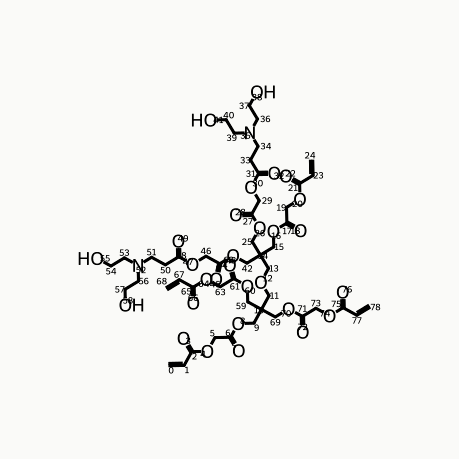 C=CC(=O)OCC(=O)OCC(COCC(COC(=O)COC(=O)C=C)(COC(=O)COC(=O)CCN(CCO)CCO)COC(=O)COC(=O)CCN(CCO)CCO)(COC(=O)COC(=O)C=C)COC(=O)COC(=O)C=C